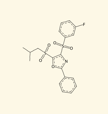 CC(C)CS(=O)(=O)c1oc(-c2ccccc2)nc1S(=O)(=O)c1cccc(F)c1